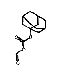 O=[C]OC(=O)OC12CC3CC(CC(C3)C1)C2